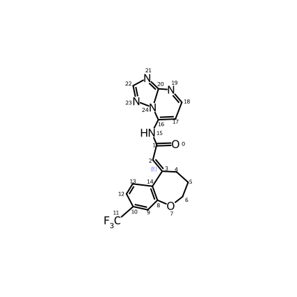 O=C(/C=C1\CCCOc2cc(C(F)(F)F)ccc21)Nc1ccnc2ncnn12